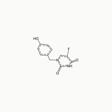 O=c1[nH]c(=O)n(Cc2ccc(O)cc2)cc1F